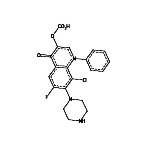 O=C(O)Oc1cn(-c2ccccc2)c2c(Cl)c(N3CCNCC3)c(F)cc2c1=O